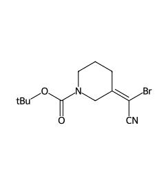 CC(C)(C)OC(=O)N1CCC/C(=C(\Br)C#N)C1